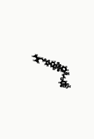 CC1(C)CC(OCCNc2cccc(S(=O)(=O)NC(=O)c3ccc(-n4ccc(OCCC5C6(CC6)C56CC6)n4)nc3Cl)n2)CN1C(=O)O